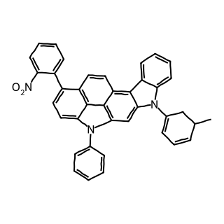 CC1C=CC=C(n2c3ccccc3c3c4ccc5c(-c6ccccc6[N+](=O)[O-])ccc6c5c4c(cc32)n6-c2ccccc2)C1